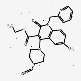 CCOC(=O)c1c(N2CCN(C=O)CC2)c2cc(C)ccc2n(Cc2ccccn2)c1=O